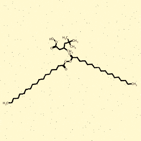 CC(CC(=O)OO)CC(C)(C)C.CCCCCCCCCCCCCCCCCC(=O)OOC(=O)CCCCCCCCCCCCCCCCC